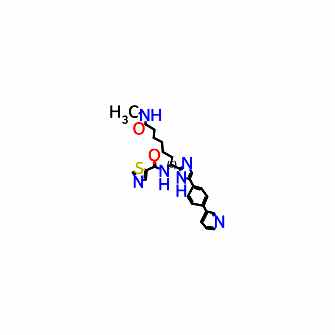 CNC(=O)CCCCC[C@H](NC(=O)c1cncs1)c1ncc(-c2ccc(-c3cccnc3)cc2)[nH]1